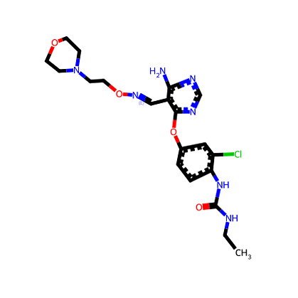 CCNC(=O)Nc1ccc(Oc2ncnc(N)c2/C=N/OCCN2CCOCC2)cc1Cl